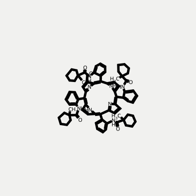 CC1(C(=O)Nc2ccccc2-c2c3nc(c(-c4ccccc4NC(=O)C4(C)CCCCC4)c4ccc([nH]4)c(-c4ccccc4NC(=O)C4(C)CCCCC4)c4nc(c(-c5ccccc5NC(=O)C5(C)CCCCC5)c5ccc2[nH]5)C=C4C=O)C=C3)CCCCC1